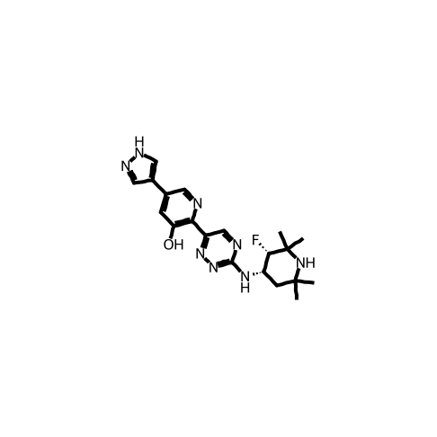 CC1(C)C[C@H](Nc2ncc(-c3ncc(-c4cn[nH]c4)cc3O)nn2)[C@H](F)C(C)(C)N1